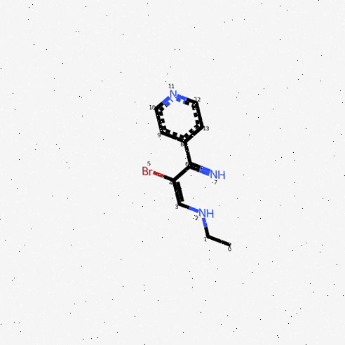 CCN/C=C(/Br)C(=N)c1ccncc1